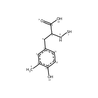 Cc1cc(CC(NS)C(=O)O)ccc1O